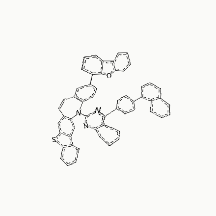 C1=Cc2cc3sc4ccccc4c3cc2N(c2nc(-c3ccc(-c4cccc5ccccc45)cc3)c3ccccc3n2)c2ccc(-c3cccc4c3oc3ccccc34)cc21